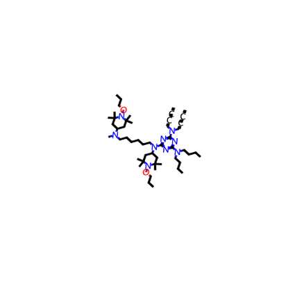 C=C=C=CN(C=C=C=C)c1nc(N(CCCC)CCCC)nc(N(CCCCCCN(C)C2CC(C)(C)N(OCCC)C(C)(C)C2)C2CC(C)(C)N(OCCC)C(C)(C)C2)n1